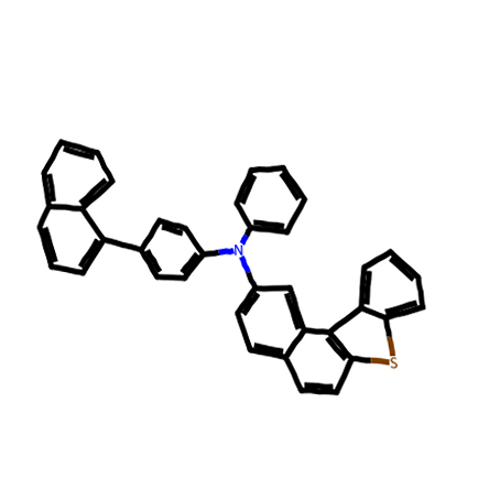 c1ccc(N(c2ccc(-c3cccc4ccccc34)cc2)c2ccc3ccc4sc5ccccc5c4c3c2)cc1